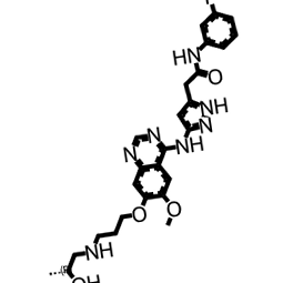 COc1cc2c(Nc3cc(CC(=O)Nc4cccc(F)c4)[nH]n3)ncnc2cc1OCCCNC[C@@H](C)O